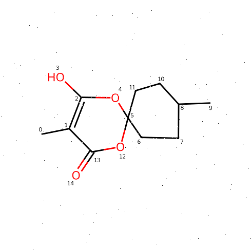 CC1=C(O)OC2(CCC(C)CC2)OC1=O